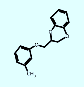 Cc1cccc(OCC2COc3ccccc3O2)c1